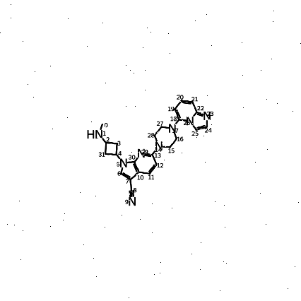 CNC1CC(n2cc(C#N)c3ccc(N4CCN(c5cccc6nccn56)CC4)nc32)C1